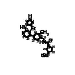 CCc1n[nH]cc1Nc1nccc(-c2ccc(CNC(=O)N3CCC(C(C)(C)C)C3)c(C)c2)n1